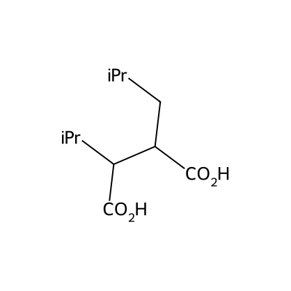 CC(C)CC(C(=O)O)C(C(=O)O)C(C)C